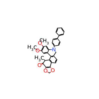 COc1cc2c(cc1OC)N(c1ccc(-c3ccccc3)cc1)Cc1ccc3c(c1-2)C(C)C(=O)C1=C3OCO1